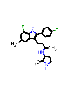 C=C(CCc1c(-c2ccc(F)cc2)[nH]c2c(F)cc(C)cc12)NC1CCNC1=C